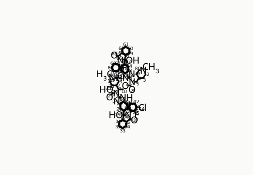 CN1CCC(CN(C(=O)OCC(C2CCN(C)CC2)N(C(=O)O)c2nc3cc(C4(O)c5ccccc5C(=O)N4c4cccc(Cl)c4F)ccc3[nH]2)c2nc3cc(C4(O)c5ccccc5C(=O)N4c4cccc(Cl)c4F)ccc3[nH]2)CC1